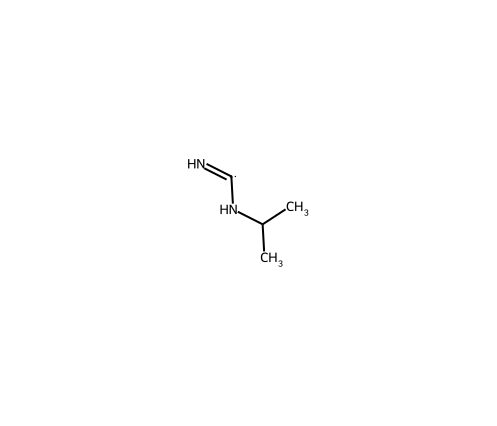 CC(C)N[C]=N